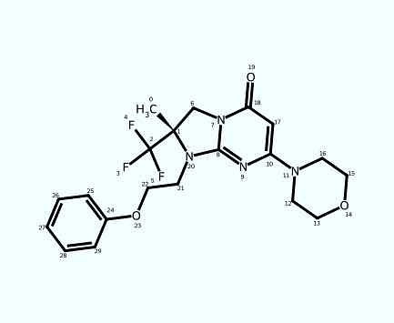 C[C@@]1(C(F)(F)F)Cn2c(nc(N3CCOCC3)cc2=O)N1CCOc1ccccc1